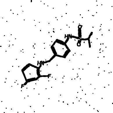 CC(C)S(=O)(=O)Nc1ccc(CNc2ccc(F)cc2F)cc1